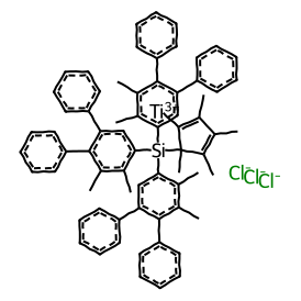 CC1=C(C)C(C)([Si](c2cc(-c3ccccc3)c(-c3ccccc3)c(C)c2C)(c2cc(-c3ccccc3)c(-c3ccccc3)c(C)c2C)c2cc(-c3ccccc3)c(-c3ccccc3)c(C)c2C)[C]([Ti+3])=C1C.[Cl-].[Cl-].[Cl-]